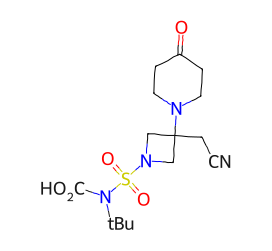 CC(C)(C)N(C(=O)O)S(=O)(=O)N1CC(CC#N)(N2CCC(=O)CC2)C1